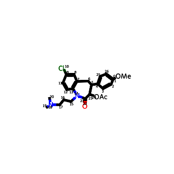 COc1ccc(C2Cc3cc(Cl)ccc3N(CCCN(C)C)C(=O)C2OC(C)=O)cc1